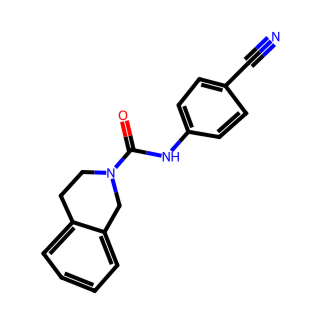 N#Cc1ccc(NC(=O)N2CCc3ccccc3C2)cc1